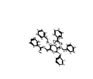 O=C(OCC1O[C@H](Sc2ccccc2)C(OCc2ccccc2)[C@@H](OC(=O)c2ccccc2)[C@@H]1OCc1ccccc1)c1ccccc1